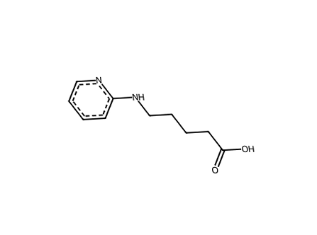 O=C(O)CCCCNc1ccccn1